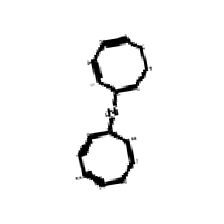 C1=CCCC[CH]([Ni][CH]2C=CC=CCCC2)C=C1